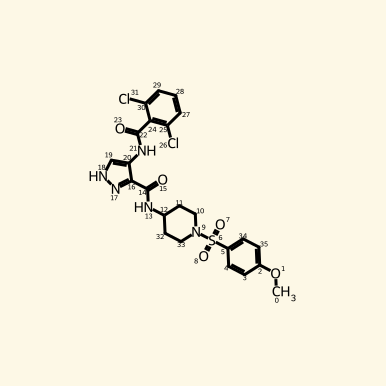 COc1ccc(S(=O)(=O)N2CCC(NC(=O)c3n[nH]cc3NC(=O)c3c(Cl)cccc3Cl)CC2)cc1